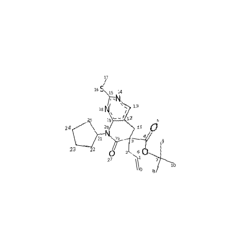 C=CCC1(C(=O)OC(C)(C)C)Cc2cnc(SC)nc2N(C2CCCC2)C1=O